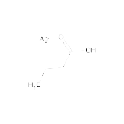 CCCC(=O)O.[Ag]